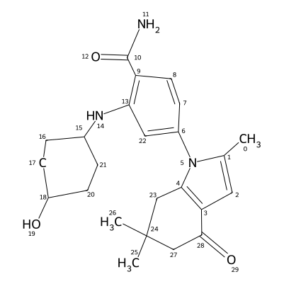 Cc1cc2c(n1-c1ccc(C(N)=O)c(NC3CCC(O)CC3)c1)CC(C)(C)CC2=O